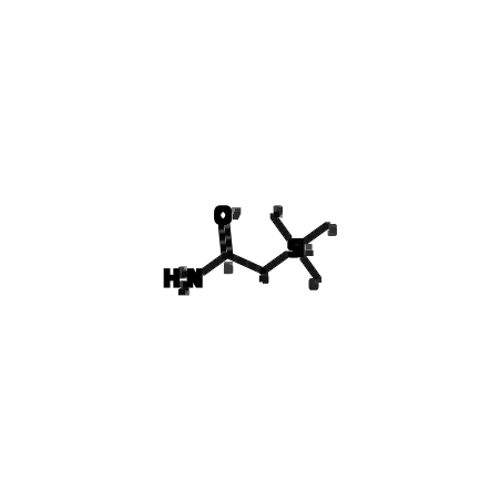 C[Si](C)(C)CC(N)=O